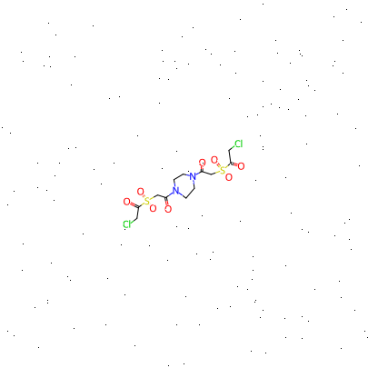 O=C(CS(=O)(=O)C(=O)CCl)N1CCN(C(=O)CS(=O)(=O)C(=O)CCl)CC1